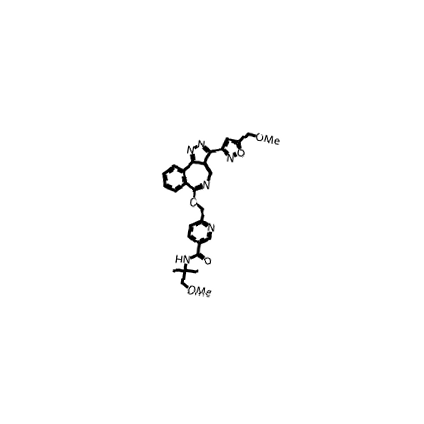 COCc1cc(C2=NN=C3c4ccccc4C(OCc4ccc(C(=O)NC(C)(C)COC)cn4)=NCC23)no1